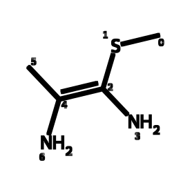 CS/C(N)=C(\C)N